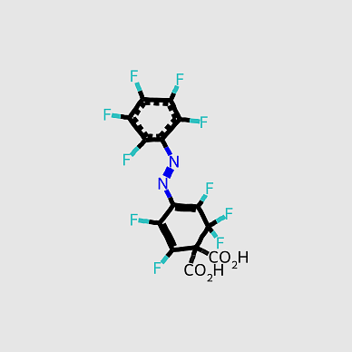 O=C(O)C1(C(=O)O)C(F)=C(F)C(N=Nc2c(F)c(F)c(F)c(F)c2F)=C(F)C1(F)F